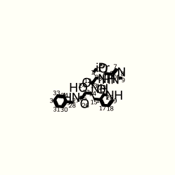 CC(C)C[C@H](NC(=O)c1cnc[nH]1)C(=O)N[C@@H](Cc1ccc[nH]c1=O)C(O)C(=O)NCc1ccccc1